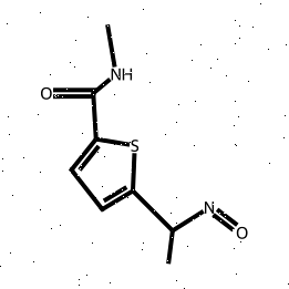 CNC(=O)c1ccc(C(C)N=O)s1